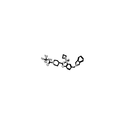 [2H]C([2H])([2H])NC(=O)N1CCC(COc2ccc(CN3Cc4ccccc4C3)cc2S(=O)(=O)N2CCC2)CC1